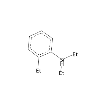 CCc1ccccc1[SiH](CC)CC